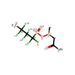 CCCC(=O)C[S+](C)OS(=O)(=O)C(F)(F)C(F)(F)C(F)(F)C(F)(F)F